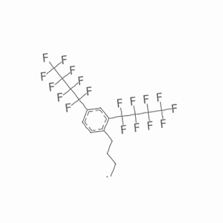 [CH2]CCCc1ccc(C(F)(F)C(F)(F)C(F)(F)C(F)(F)F)cc1C(F)(F)C(F)(F)C(F)(F)C(F)(F)F